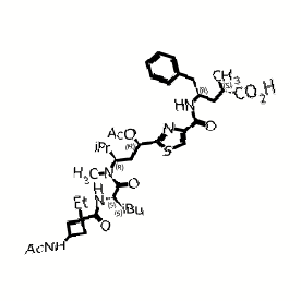 CC[C@H](C)[C@H](NC(=O)C1(CC)CC(NC(C)=O)C1)C(=O)N(C)[C@H](C[C@@H](OC(C)=O)c1nc(C(=O)N[C@@H](Cc2ccccc2)C[C@H](C)C(=O)O)cs1)C(C)C